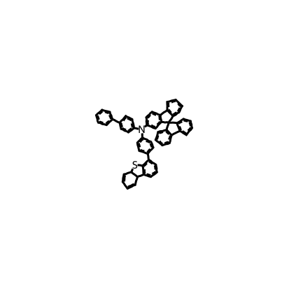 C1=CC2Sc3c(-c4ccc(N(c5ccc(-c6ccccc6)cc5)c5ccc6c(c5)C5(c7ccccc7-c7ccccc75)c5ccccc5-6)cc4)cccc3C2C=C1